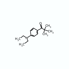 CCN(CC)c1ccc(C(=O)C(C)(C)C)cc1